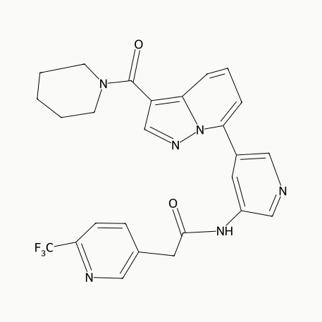 O=C(Cc1ccc(C(F)(F)F)nc1)Nc1cncc(-c2cccc3c(C(=O)N4CCCCC4)cnn23)c1